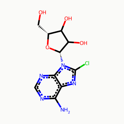 Nc1ncnc2c1nc(Cl)n2[C@@H]1O[C@H](CO)C(O)C1O